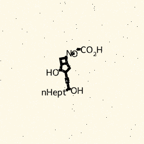 CCCCCCCC(O)C#CC1CC2C(=NOCC(=O)O)CC2C1O